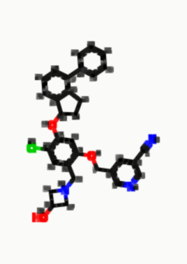 N#Cc1cncc(COc2cc(OC3CCc4c(-c5ccccc5)cccc43)c(Cl)cc2CN2CC(O)C2)c1